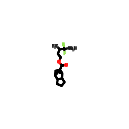 O=C(OCCC(C(F)(F)F)C(F)(F)S(=O)(=O)O)C1CC2CC1C1CCCC21